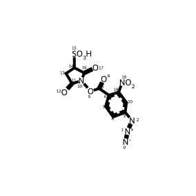 [N-]=[N+]=Nc1ccc(C(=O)ON2C(=O)CC(S(=O)(=O)O)C2=O)c([N+](=O)[O-])c1